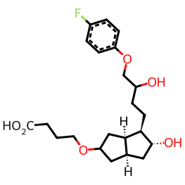 O=C(O)CCCOC1C[C@@H]2C[C@@H](O)[C@H](CCC(O)COc3ccc(F)cc3)[C@@H]2C1